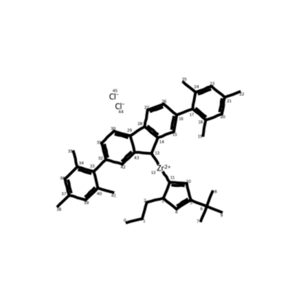 CCCC1C=C(C(C)(C)C)C=[C]1[Zr+2][CH]1c2cc(-c3c(C)cc(C)cc3C)ccc2-c2ccc(-c3c(C)cc(C)cc3C)cc21.[Cl-].[Cl-]